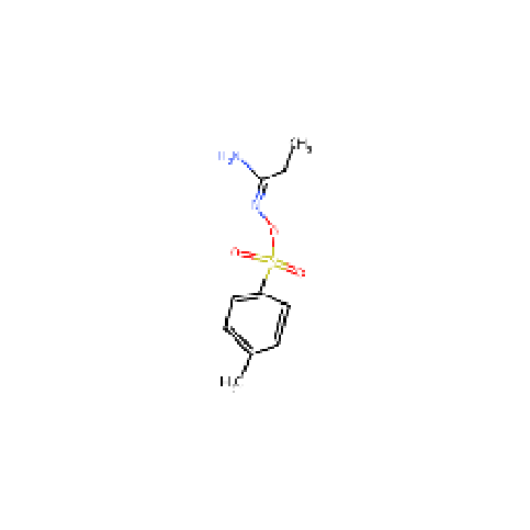 CC/C(N)=N\OS(=O)(=O)c1ccc(C)cc1